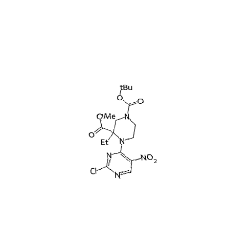 CCC1(C(=O)OC)CN(C(=O)OC(C)(C)C)CCN1c1nc(Cl)ncc1[N+](=O)[O-]